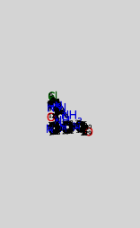 Nc1nn2cc(Cl)cnc2c1C(=O)Nc1cnccc1N1CCC(N2CCC3(COC3)C2)CC1